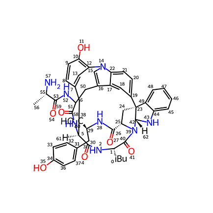 CCC(C)[C@@H]1NC(=O)[C@@H]2Cc3ccc(O)c(c3)-n3cc(c4cc(ccc43)[C@]34C[C@@H](C(=O)N[C@@H](Cc5ccc(O)cc5)C(=O)O)N(C1=O)[C@H]3Nc1ccccc14)CC(NC(=O)[C@H](C)N)C(=O)N2